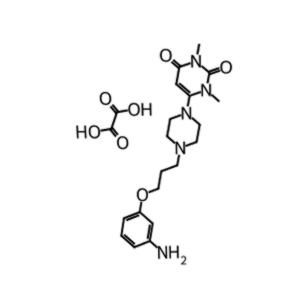 Cn1c(N2CCN(CCCOc3cccc(N)c3)CC2)cc(=O)n(C)c1=O.O=C(O)C(=O)O